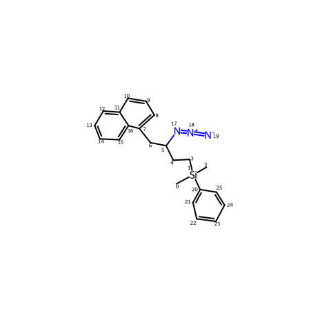 C[Si](C)(CCC(Cc1cccc2ccccc12)N=[N+]=[N-])c1ccccc1